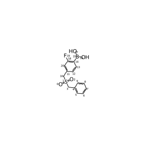 O=S(=O)(Cc1ccccc1)Cc1ccc(B(O)O)c(F)c1